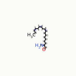 CC/C=C\C/C=C\C/C=C\CCCCCCC(N)C=O